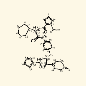 CC(C)n1nccc1C(=O)N[C@H](C(=O)Nc1ccc(C[C@@H](NC(=O)c2ccns2)C(=O)N2CCN(C)CC2)cc1)C1CCCCCC1